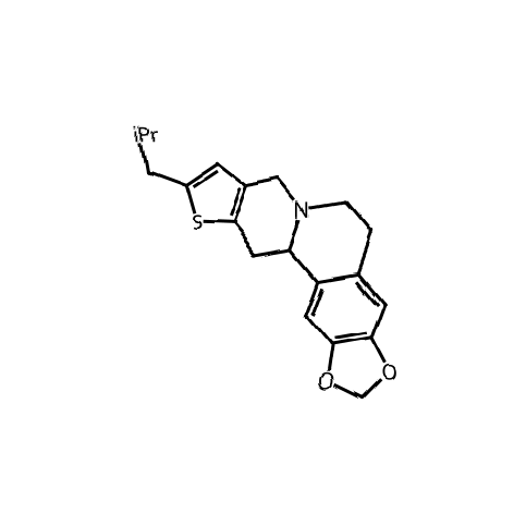 CC(C)Cc1cc2c(s1)CC1c3cc4c(cc3CCN1C2)OCO4